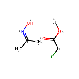 CC(C)=NO.CCOC(=O)CF